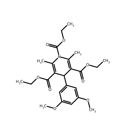 CCOC(=O)C1=C(C)N(C(=O)OCC)C(C)=C(C(=O)OCC)C1c1cc(OC)cc(OC)c1